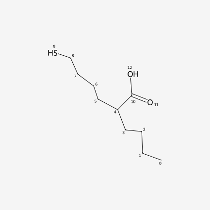 CCCCC(CCCCS)C(=O)O